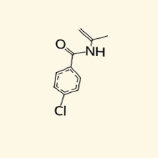 C=C(C)NC(=O)c1ccc(Cl)cc1